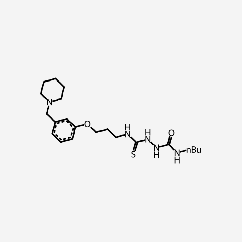 CCCCNC(=O)NNC(=S)NCCCOc1cccc(CN2CCCCC2)c1